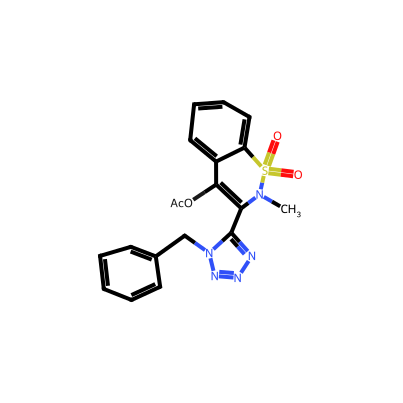 CC(=O)OC1=C(c2nnnn2Cc2ccccc2)N(C)S(=O)(=O)c2ccccc21